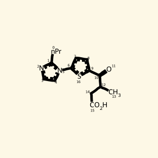 CCCc1nccn1-c1ccc(C(=O)C(C)CC(=O)O)s1